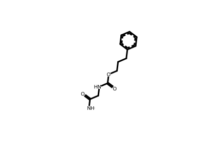 [NH]C(=O)CNC(=O)OCCCc1ccccc1